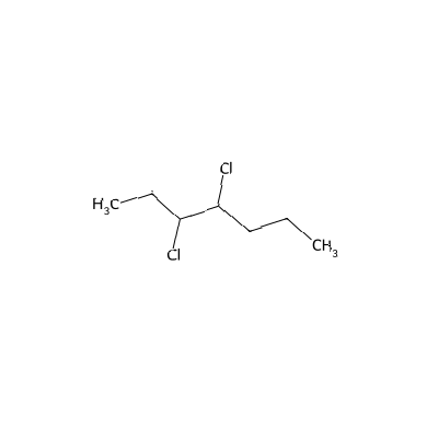 C[CH]C(Cl)C(Cl)CCC